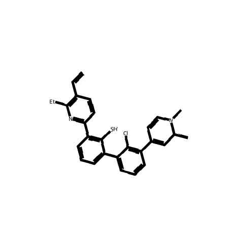 C=Cc1ccc(-c2cccc(-c3cccc(C4=CC(C)N(C)C=C4)c3Cl)c2S)nc1CC